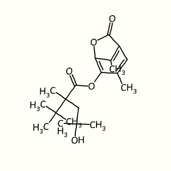 Cc1cc2c(C)c(c1OC(=O)C(C)(CC(C)(C)O)C(C)(C)C)OC2=O